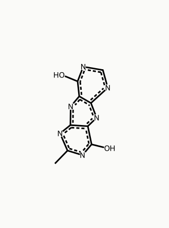 Cc1nc(O)c2nc3ncnc(O)c3nc2n1